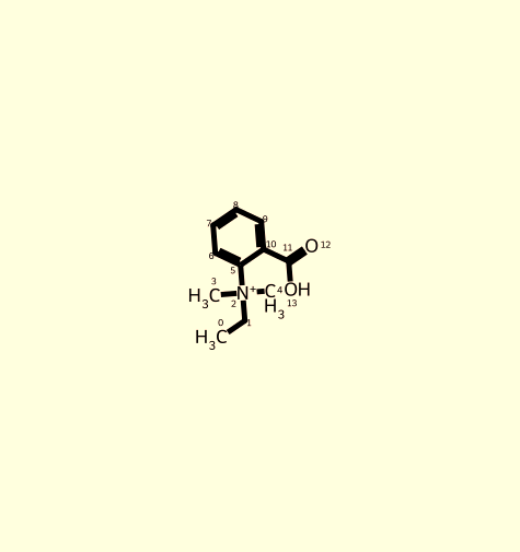 CC[N+](C)(C)c1ccccc1C(=O)O